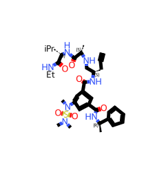 C#CC[C@@H](CN[C@@H](C)C(=O)N[C@H](C(=O)NCC)C(C)C)NC(=O)c1cc(C(=O)N[C@H](C)c2ccccc2)cc(N(C)S(=O)(=O)N(C)C)c1